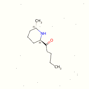 CCCCC(=O)[C@H]1CCC[C@H](C)N1